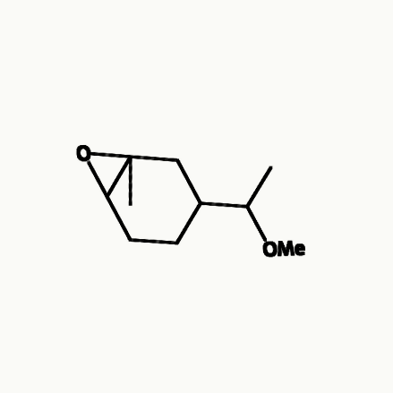 COC(C)C1CCC2OC2(C)C1